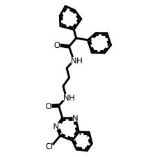 O=C(NCCCNC(=O)C(c1ccccc1)c1ccccc1)c1nc(Cl)c2ccccc2n1